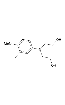 CNc1ccc(N(CCO)CCO)cc1C